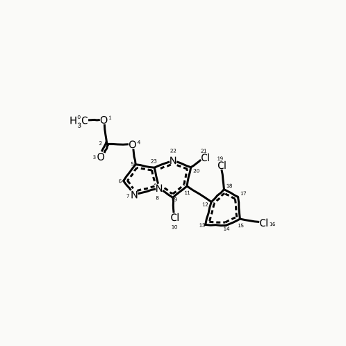 COC(=O)Oc1cnn2c(Cl)c(-c3ccc(Cl)cc3Cl)c(Cl)nc12